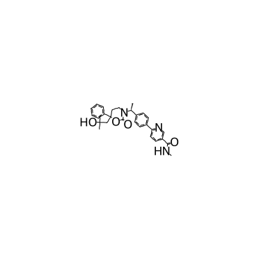 CNC(=O)c1ccc(-c2ccc([C@H](C)N3CCC(CC(C)(C)O)(c4ccccc4)OC3=O)cc2)nc1